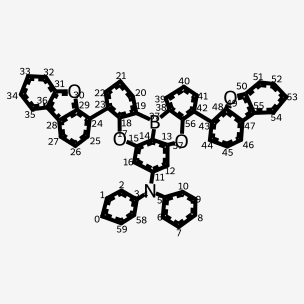 c1ccc(N(c2ccccc2)c2cc3c4c(c2)Oc2c(cccc2-c2cccc5c2oc2ccccc25)B4c2cccc(-c4cccc5c4oc4ccccc45)c2O3)cc1